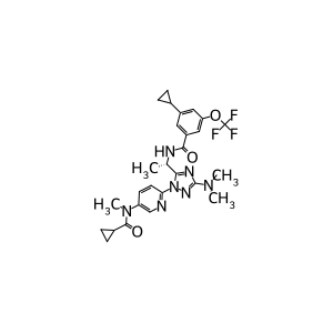 C[C@H](NC(=O)c1cc(OC(F)(F)F)cc(C2CC2)c1)c1nc(N(C)C)nn1-c1ccc(N(C)C(=O)C2CC2)cn1